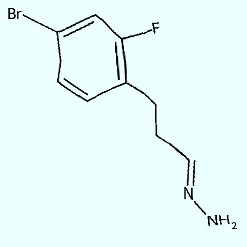 NN=CCCc1ccc(Br)cc1F